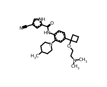 CC1CCN(c2cc(C3(OCCN(C)C)CCC3)ccc2NC(=O)c2cc(C#N)c[nH]2)CC1